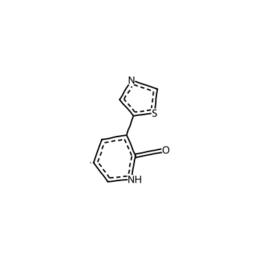 O=c1[nH]c[c]cc1-c1cncs1